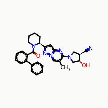 Cc1cn2nc([C@@H]3CCCCN3C(=O)c3ccccc3-c3ccccc3)cc2nc1N1C[C@@H](C#N)[C@@H](O)C1